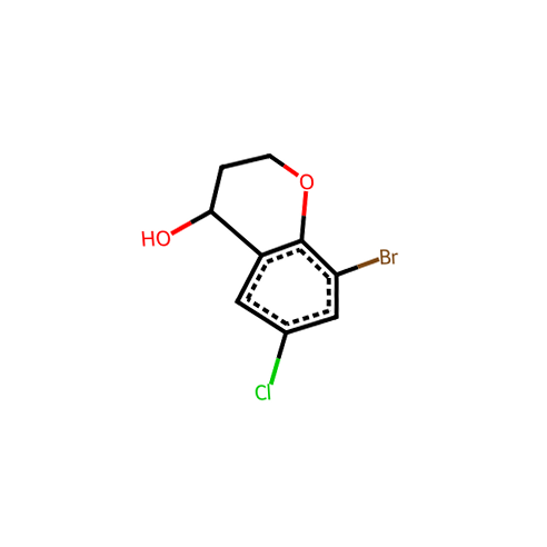 OC1CCOc2c(Br)cc(Cl)cc21